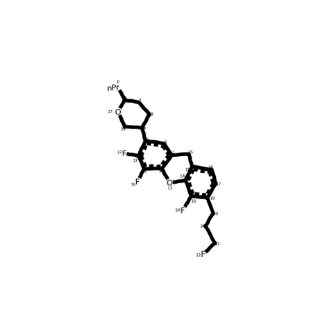 CCCC1CCC(c2cc3c(c(F)c2F)Oc2c(ccc(CCCF)c2F)C3)CO1